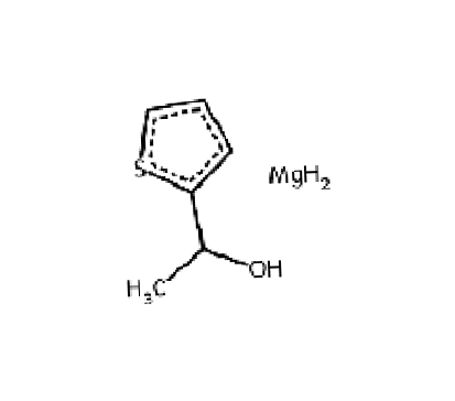 CC(O)c1cccs1.[MgH2]